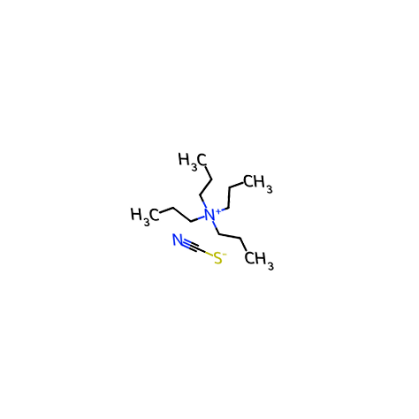 CCC[N+](CCC)(CCC)CCC.N#C[S-]